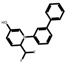 OC1=CN(c2cccc(-c3ccccc3)c2)C(C(F)F)C=C1